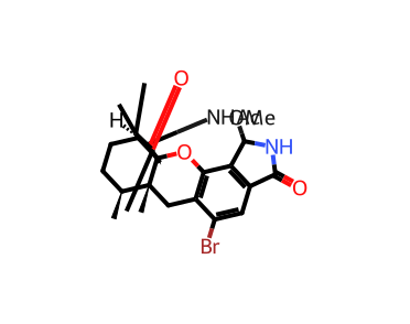 COC1NC(=O)c2cc(Br)c3c(c21)O[C@@]12CC(NC(C)=O)C(=O)C(C)(C)[C@@H]1CC[C@H](C)[C@@]2(C)C3